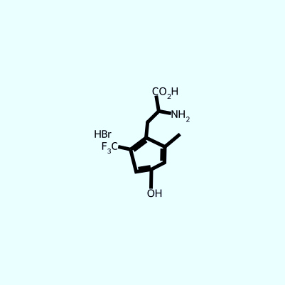 Br.Cc1cc(O)cc(C(F)(F)F)c1CC(N)C(=O)O